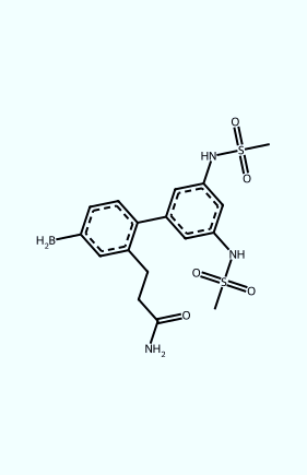 Bc1ccc(-c2cc(NS(C)(=O)=O)cc(NS(C)(=O)=O)c2)c(CCC(N)=O)c1